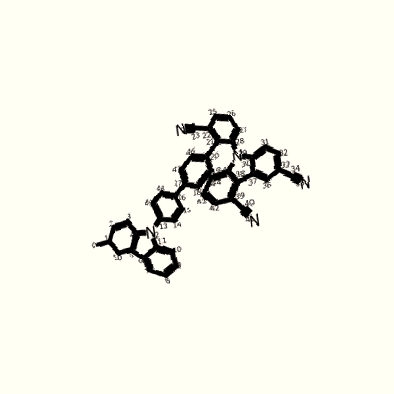 CC1C=Cc2c(c3ccccc3n2-c2ccc(-c3ccc(-c4c(C#N)cccc4-n4c5ccc(C#N)cc5c5c(C#N)cccc54)cc3)cc2)C1